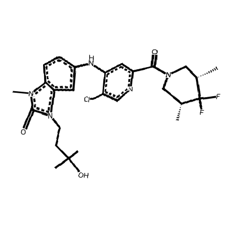 C[C@@H]1CN(C(=O)c2cc(Nc3ccc4c(c3)n(CCC(C)(C)O)c(=O)n4C)c(Cl)cn2)C[C@H](C)C1(F)F